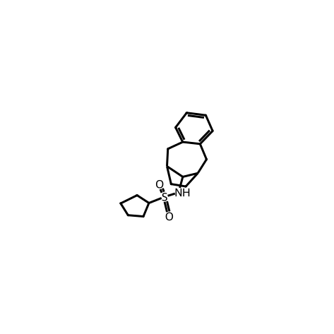 O=S(=O)(NC1C2CCC1Cc1ccccc1C2)C1CCCC1